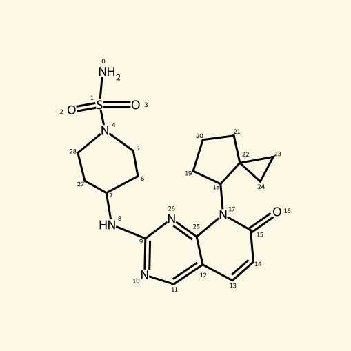 NS(=O)(=O)N1CCC(Nc2ncc3ccc(=O)n(C4CCCC45CC5)c3n2)CC1